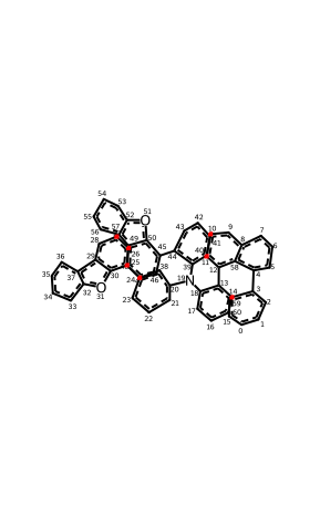 c1ccc(-c2cccc3cccc(-c4ccccc4N(c4cccc(-c5cccc6c5oc5ccccc56)c4)c4ccccc4-c4cccc5c4oc4ccccc45)c23)cc1